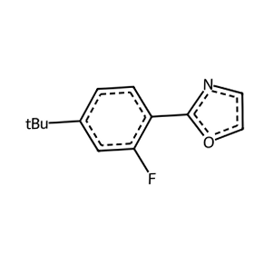 CC(C)(C)c1ccc(-c2ncco2)c(F)c1